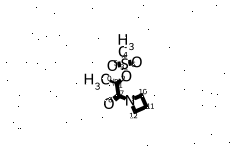 C[C@@H](OS(C)(=O)=O)C(=O)N1CCC1